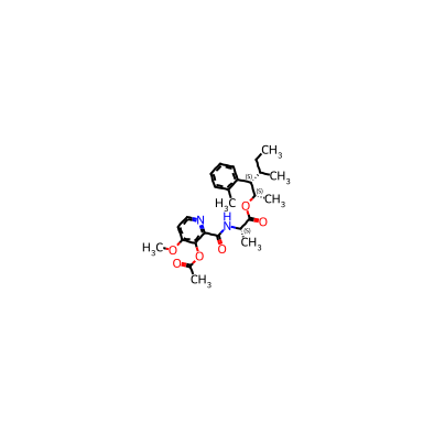 CCC(C)[C@@H](c1ccccc1C)[C@H](C)OC(=O)[C@H](C)NC(=O)c1nccc(OC)c1OC(C)=O